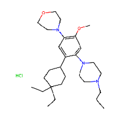 CCCN1CCN(c2cc(OC)c(N3CCOCC3)cc2C2CCC(CC)(CC)CC2)CC1.Cl